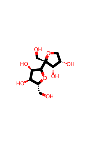 OC[C@H]1OC([C@]2(CO)OC[C@H](O)[C@@H]2O)[C@H](O)[C@@H]1O